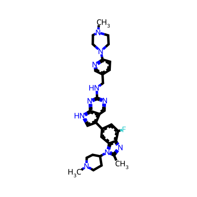 Cc1nc2c(F)cc(-c3c[nH]c4nc(NCc5ccc(N6CCN(C)CC6)nc5)ncc34)cc2n1C1CCN(C)CC1